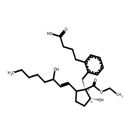 CCCCCC(O)C=CC1CC[C@@H](O)[C@]1(Cc1ccccc1CCCC(=O)O)C(=O)OCC